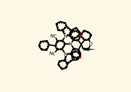 N#Cc1c(-c2ccccc2)c(C#N)c(-n2c3ccccc3c3ccccc32)c(N2c3ccccc3C3(c4ccccc4Oc4ccccc43)c3ccccc32)c1-n1c2ccccc2c2ccccc21